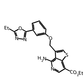 CCOC(=O)c1cnc(N)c2c(COc3cccc(-c4nnc(CC)o4)c3)csc12